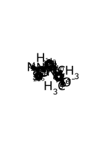 Cc1cc([S+](C)[O-])ccc1-c1cn2cccc(C(=O)NC(C#N)c3cccs3)c2n1